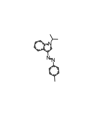 Cc1ccc(/N=N/c2cn(C(C)C)c3ccccc23)cc1